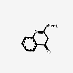 CCCCCC1=Nc2ccccc2C(=O)C1